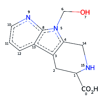 O=C(O)C1Cc2c(n(CO)c3ncccc23)CN1